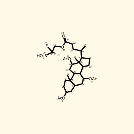 CC(=O)OC1CCC2(C)C(C1)CC(OC(C)=O)C1C2CC(OC(C)=O)C2(C)C(C(C)CCC(=O)OCC(F)(F)S(=O)(=O)O)CCC12